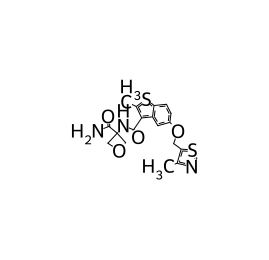 Cc1ncsc1COc1ccc2sc(C)c(C(=O)NC3(C(N)=O)COC3)c2c1